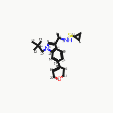 CC(NSC1CC1)c1cn(CC(C)(C)C)c2cc(C3=CCOCC3)ccc12